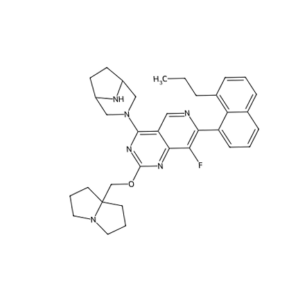 CCCc1cccc2cccc(-c3ncc4c(N5CC6CCC(C5)N6)nc(OCC56CCCN5CCC6)nc4c3F)c12